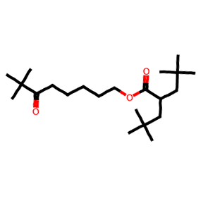 CC(C)(C)CC(CC(C)(C)C)C(=O)OCCCCCC(=O)C(C)(C)C